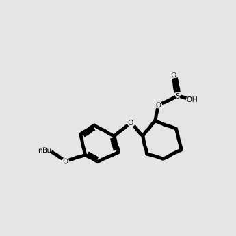 CCCCOc1ccc(OC2CCCCC2OS(=O)O)cc1